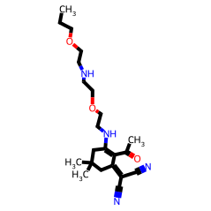 CCCOCCNCCOCCNC1=C(C(C)=O)C(=C(C#N)C#N)CC(C)(C)C1